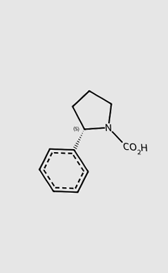 O=C(O)N1CCC[C@H]1c1ccccc1